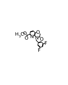 COC(=O)c1ccc2c(n1)N(Cc1cc(F)cc(F)c1)C(=O)CO2